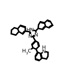 CC1C=C(C2=NC(C3C=c4ccccc4=CC3)NC(C3=CC4CCCCC4C=C3)=N2)C=CC1c1cccc2c1NCCC2